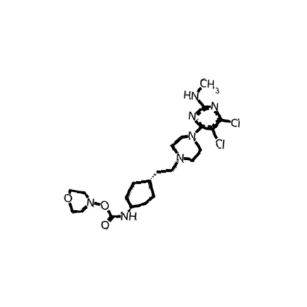 CNc1nc(Cl)c(Cl)c(N2CCN(CC[C@H]3CC[C@H](NC(=O)ON4CCOCC4)CC3)CC2)n1